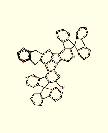 N#Cc1cc2c(c3c1C1(c4ccccc4-c4ccccc41)c1ccccc1-3)c1c3c(cc4c5c6c(ncc5n2c41)C1(c2ccccc2-c2ccccc21)c1ccccc1-6)C1c2ccccc2C3c2ccccc21